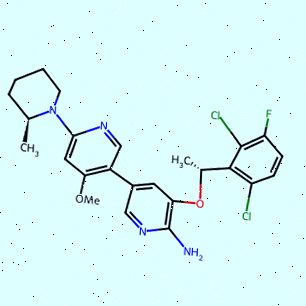 COc1cc(N2CCCC[C@@H]2C)ncc1-c1cnc(N)c(O[C@H](C)c2c(Cl)ccc(F)c2Cl)c1